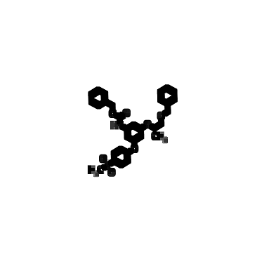 C[C@@H](COCc1ccccc1)Oc1cc(NC(=O)OCc2ccccc2)cc(Oc2ccc(S(C)(=O)=O)cc2)c1